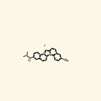 CN(C)Nc1ccc2c(ccc3n4c(ccc5cc(C(C)(C)C)ccc54)c[n+]23)c1.[I-]